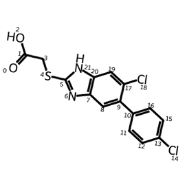 O=C(O)CSc1nc2cc(-c3ccc(Cl)cc3)c(Cl)cc2[nH]1